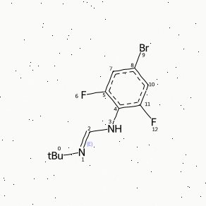 CC(C)(C)/N=C/Nc1c(F)cc(Br)cc1F